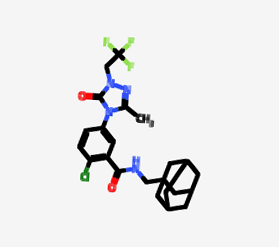 Cc1nn(CC(F)(F)F)c(=O)n1-c1ccc(Cl)c(C(=O)NCC23CC4CC(CC(C4)C2)C3)c1